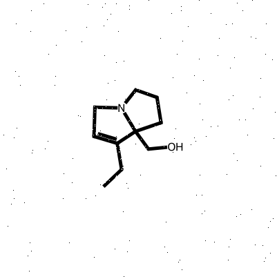 CCC1=CCN2CCCC12CO